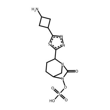 NC1CC(c2nnc(C3CCC4CN3C(=O)N4OS(=O)(=O)O)s2)C1